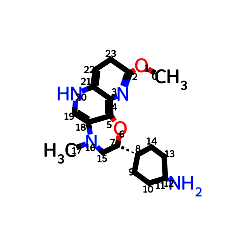 COC1=NC2=C3OC([C@H]4CC[C@H](N)CC4)CN(C)C3=CNC2=CC1